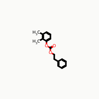 Cc1cccc(OC(=O)OCCc2ccccc2)c1C